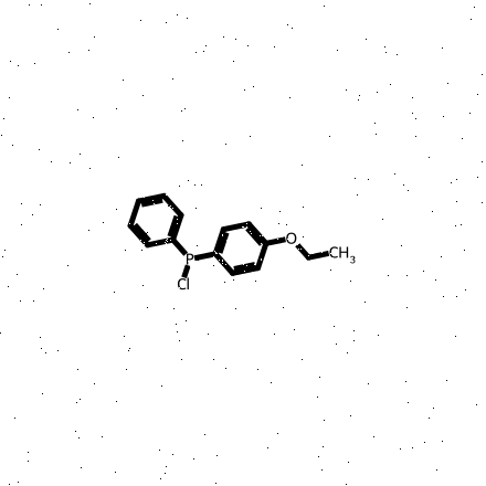 CCOc1ccc(P(Cl)c2ccccc2)cc1